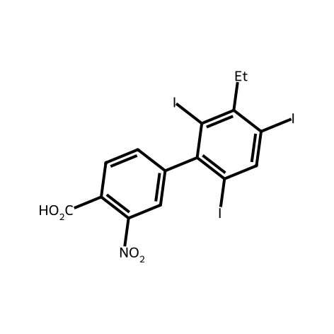 CCc1c(I)cc(I)c(-c2ccc(C(=O)O)c([N+](=O)[O-])c2)c1I